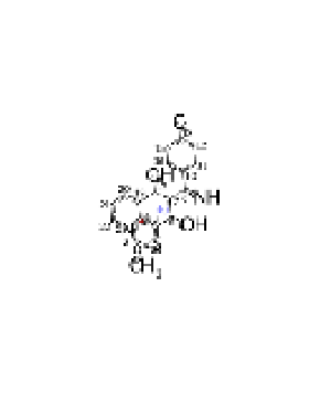 Cc1ccc(/C(O)=C(/C(=N)c2ccc(Cl)cc2)C(O)c2cccnc2)s1